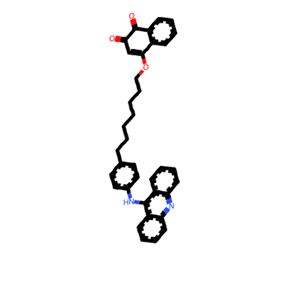 O=C1C=C(OCCCCCCCc2ccc(Nc3c4ccccc4nc4ccccc34)cc2)c2ccccc2C1=O